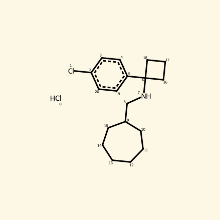 Cl.Clc1ccc(C2(NCC3CCCCCC3)CCC2)cc1